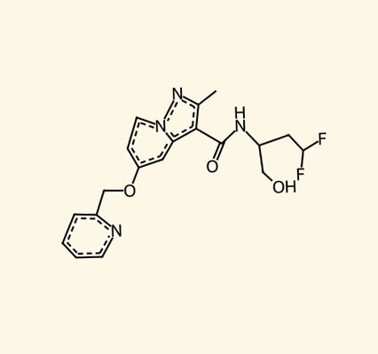 Cc1nn2ccc(OCc3ccccn3)cc2c1C(=O)NC(CO)CC(F)F